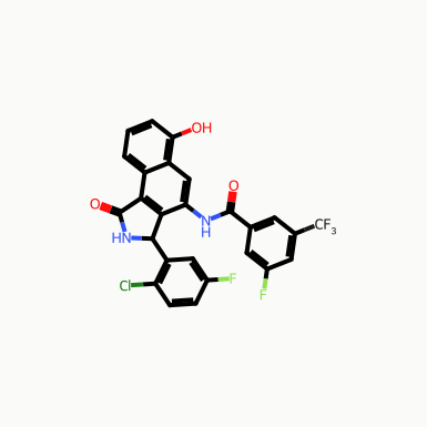 O=C(Nc1cc2c(O)cccc2c2c1C(c1cc(F)ccc1Cl)NC2=O)c1cc(F)cc(C(F)(F)F)c1